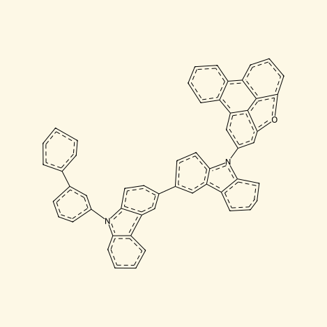 c1ccc(-c2cccc(-n3c4ccccc4c4cc(-c5ccc6c(c5)c5ccccc5n6-c5cc6oc7cccc8c9ccccc9c(c5)c6c78)ccc43)c2)cc1